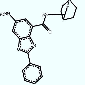 CC(=O)Nc1cc(C(=O)NC2CN3CCC2CC3)c2nc(-c3ccccc3)oc2c1